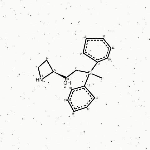 C[Si](CC(O)[C@@H]1CCN1)(c1ccccc1)c1ccccc1